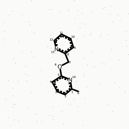 Cc1cccc(OCc2ccccn2)n1